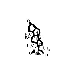 CCCCC(=O)O[C@]1(C(=O)CO)[C@@H](C)C[C@H]2[C@@H]3CCC4=CC(=O)C=C[C@]4(C)[C@@]3(Cl)[C@@H](O)C[C@@]21C